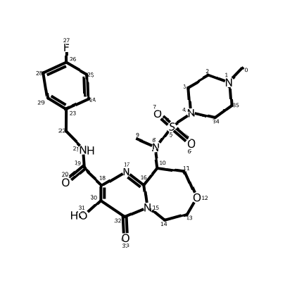 CN1CCN(S(=O)(=O)N(C)C2COCCn3c2nc(C(=O)NCc2ccc(F)cc2)c(O)c3=O)CC1